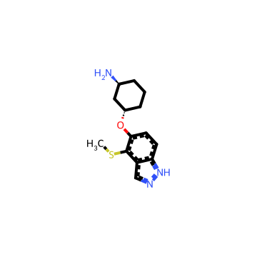 CSc1c(O[C@H]2CCC[C@H](N)C2)ccc2[nH]ncc12